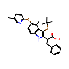 Cc1ccc(Sc2ccc3[nH]c(C(Cc4ccccc4)C(=O)O)c(SC(C)(C)C)c3c2C)nc1